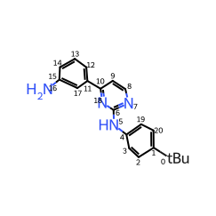 CC(C)(C)c1ccc(Nc2nccc(-c3cccc(N)c3)n2)cc1